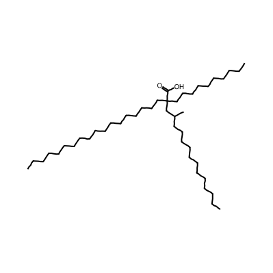 CCCCCCCCCCCCCCCCCCC(CCCCCCCCCC)(CC(C)CCCCCCCCCCCC)C(=O)O